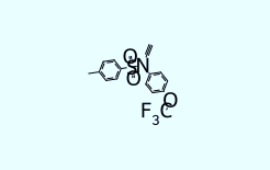 C#CN(c1ccc(OC(F)(F)F)cc1)S(=O)(=O)c1ccc(C)cc1